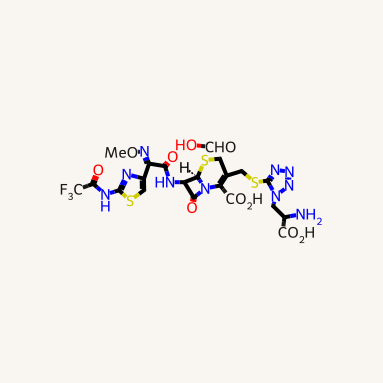 CO/N=C(/C(=O)NC1C(=O)N2C(C(=O)O)=C(CSc3nnnn3CC(N)C(=O)O)CS[C@H]12)c1csc(NC(=O)C(F)(F)F)n1.O=CO